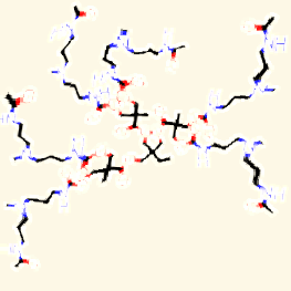 CCC(COC(=O)C(C)(COC(=O)NCCCN(C)CCCNC(C)=O)COC(=O)NCCCN(C)CCCNC(C)=O)(COC(=O)C(C)(COC(=O)NCCCN(C)CCCNC(C)=O)COC(=O)NCCCN(C)CCCNC(C)=O)COC(=O)C(C)(COC(=O)NCCCN(C)CCCNC(C)=O)COC(=O)NCCCN(C)CCCNC(C)=O